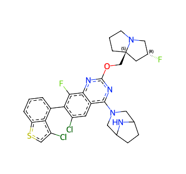 Fc1c(-c2cccc3scc(Cl)c23)c(Cl)cc2c(N3CC4CCC(C3)N4)nc(OC[C@@]34CCCN3C[C@H](F)C4)nc12